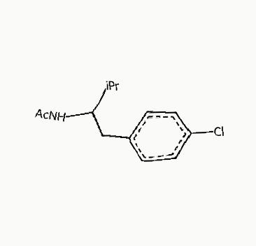 CC(=O)NC(Cc1ccc(Cl)cc1)C(C)C